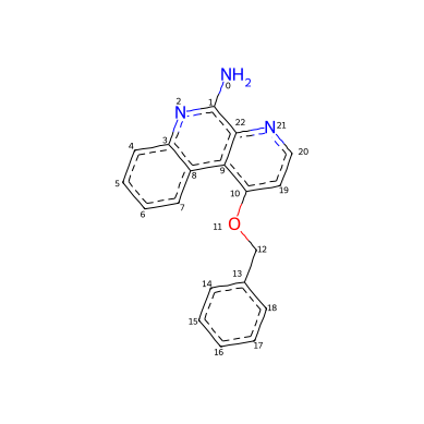 Nc1nc2ccccc2c2c(OCc3ccccc3)ccnc12